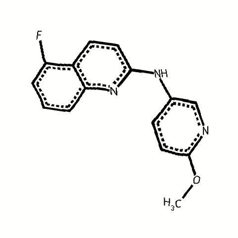 COc1ccc(Nc2ccc3c(F)cccc3n2)cn1